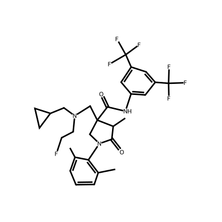 Cc1cccc(C)c1N1CC(CN(CCF)CC2CC2)(C(=O)Nc2cc(C(F)(F)F)cc(C(F)(F)F)c2)C(C)C1=O